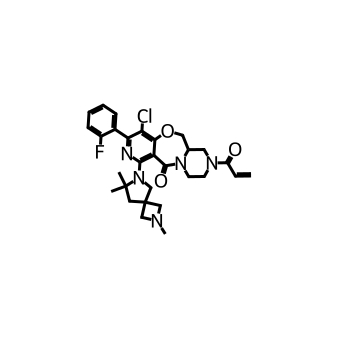 C=CC(=O)N1CCN2C(=O)c3c(N4CC5(CN(C)C5)CC4(C)C)nc(-c4ccccc4F)c(Cl)c3OCC2C1